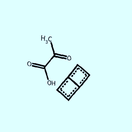 CC(=O)C(=O)O.c1cc2ccc1-2